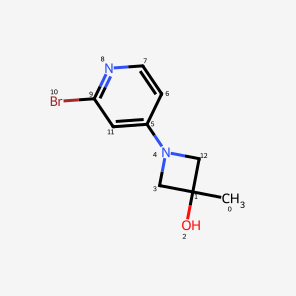 CC1(O)CN(c2ccnc(Br)c2)C1